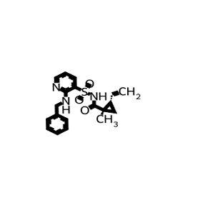 C=C[C@@H]1C[C@]1(C)C(=O)NS(=O)(=O)c1cccnc1NCc1ccccc1